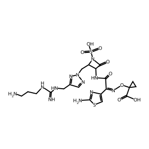 N=C(NCCCN)NCc1cnn(CC2C(NC(=O)/C(=N\OC3(C(=O)O)CC3)c3csc(N)n3)C(=O)N2S(=O)(=O)O)n1